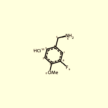 COc1ccc(CN)cc1F.Cl